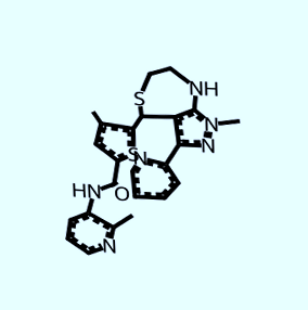 Cc1cc(C(=O)Nc2cccnc2C)sc1C1SCCNc2c1c(-c1ccccn1)nn2C